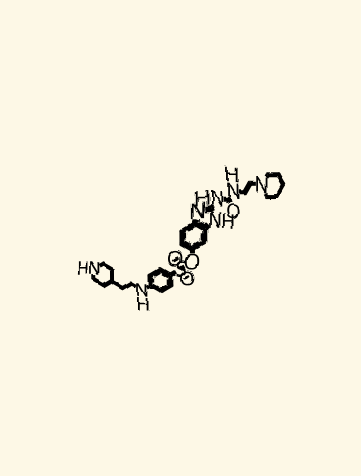 O=C(NCCN1CCCCC1)Nc1nc2ccc(OS(=O)(=O)c3ccc(NCCC4CCNCC4)cc3)cc2[nH]1